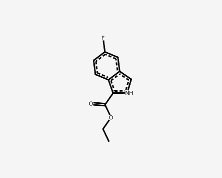 CCOC(=O)c1[nH]cc2cc(F)ccc12